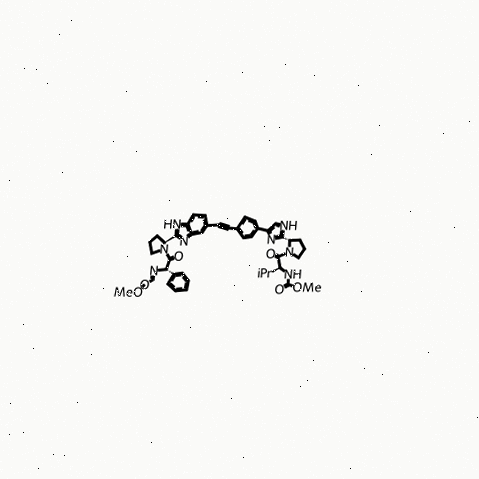 COO/C=N/[C@H](C(=O)N1CCC[C@H]1c1nc2cc(C#Cc3ccc(-c4c[nH]c([C@@H]5CCCN5C(=O)[C@@H](NC(=O)OC)C(C)C)n4)cc3)ccc2[nH]1)c1ccccc1